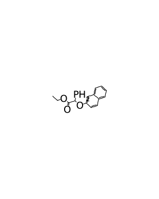 CCOC(=O)C(P)Oc1ccc2ccccc2c1